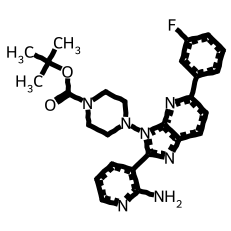 CC(C)(C)OC(=O)N1CCN(n2c(-c3cccnc3N)nc3ccc(-c4cccc(F)c4)nc32)CC1